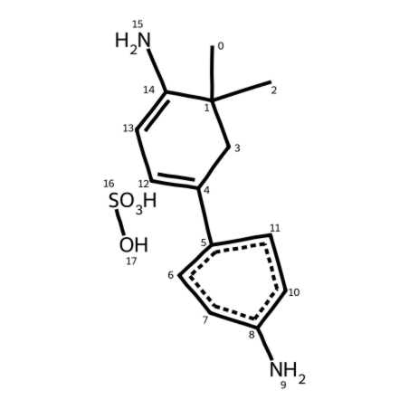 CC1(C)CC(c2ccc(N)cc2)=CC=C1N.O=S(=O)(O)O